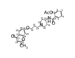 CC(=O)Oc1ccccc1C(=O)NC1CCN(CCCOc2ccc3c(=O)cc(C)oc3c2)CC1